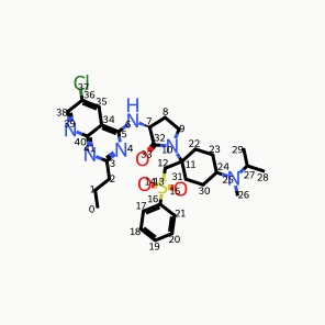 CCCc1nc(N[C@H]2CCN(C3(CS(=O)(=O)c4ccccc4)CCC(N(C)C(C)C)CC3)C2=O)c2cc(Cl)cnc2n1